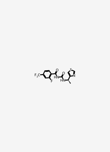 C[C@@H](NC(=O)NC(=O)c1ccc(C(F)(F)F)cc1F)c1cscn1